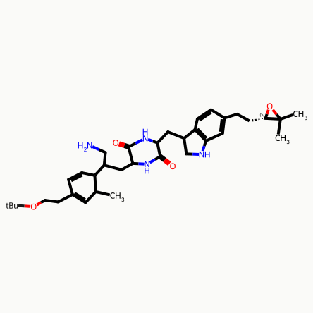 CC1C=C(CCOC(C)(C)C)C=CC1C(CN)CC1NC(=O)C(CC2CNc3cc(CC[C@@H]4OC4(C)C)ccc32)NC1=O